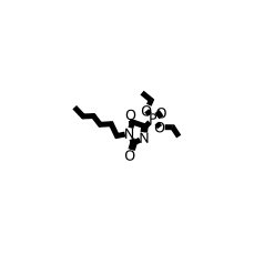 CCCCCCN1C(=O)N=C(P(=O)(OCC)OCC)C1=O